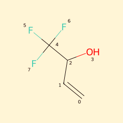 C=CC(O)C(F)(F)F